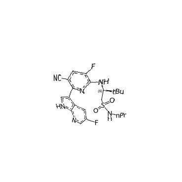 CCCNS(=O)(=O)C[C@@H](Nc1nc(-c2c[nH]c3ncc(F)cc23)c(C#N)cc1F)C(C)(C)C